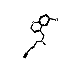 C#CC=CCN(C)CC1=CCOc2ccc(Cl)cc21